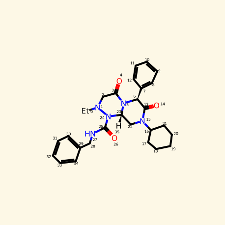 CCN1CC(=O)N2[C@@H](c3ccccc3)C(=O)N(C3CCCCC3)C[C@@H]2N1C(=O)NCc1ccccc1